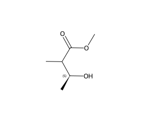 COC(=O)C(C)[C@H](C)O